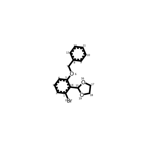 Brc1cccc(OCc2ccccc2)c1C1OCCO1